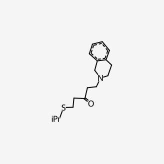 CC(C)SCCC(=O)CCN1CCc2ccccc2C1